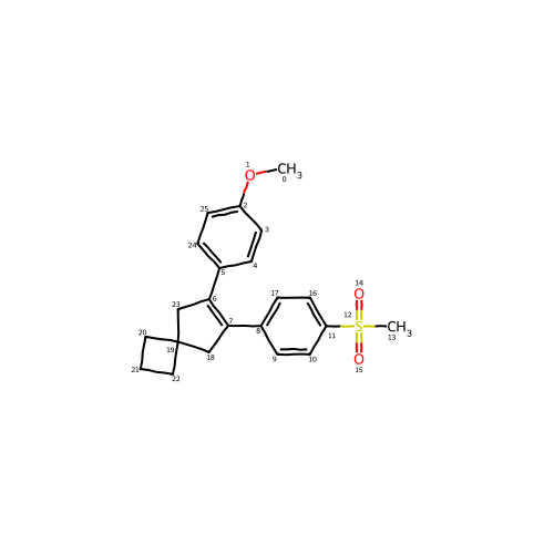 COc1ccc(C2=C(c3ccc(S(C)(=O)=O)cc3)CC3(CCC3)C2)cc1